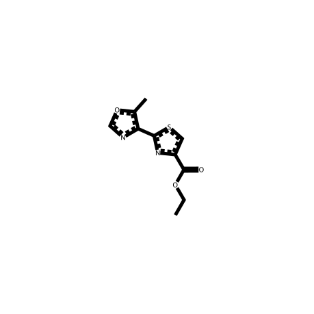 CCOC(=O)c1csc(-c2ncoc2C)n1